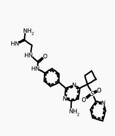 N=C(N)CNC(=O)Nc1ccc(-c2nc(N)cc(C3(S(=O)(=O)c4ccccn4)CCC3)n2)cc1